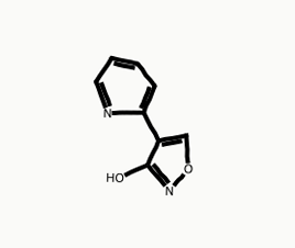 Oc1nocc1-c1ccccn1